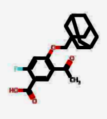 CC(=O)c1cc(C(=O)O)c(F)cc1OCC12CC3CC(CC(C3)C1)C2